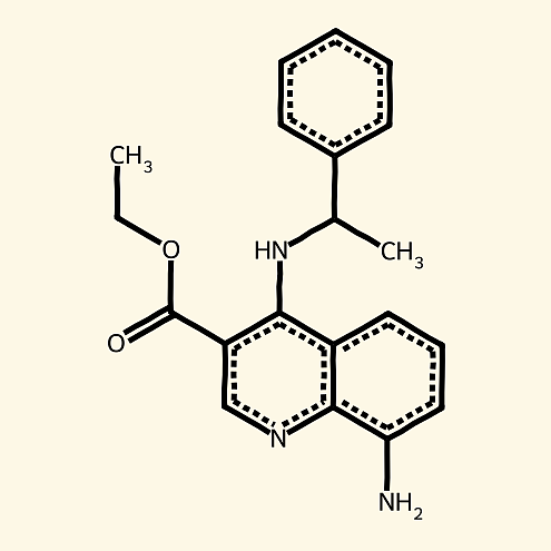 CCOC(=O)c1cnc2c(N)cccc2c1NC(C)c1ccccc1